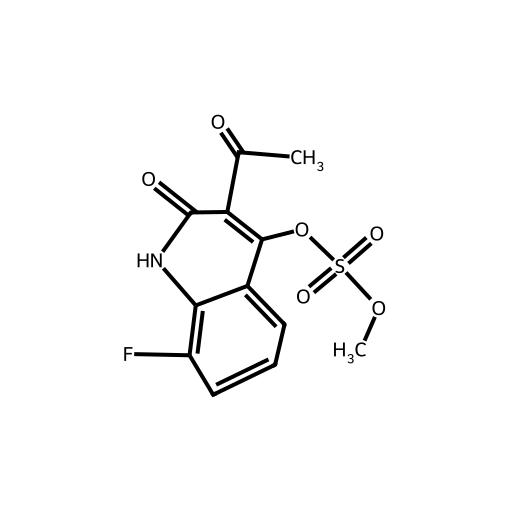 COS(=O)(=O)Oc1c(C(C)=O)c(=O)[nH]c2c(F)cccc12